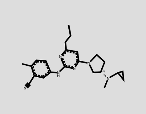 CCCc1cc(N2CC[C@H](N(C)C3CC3)C2)nc(Nc2ccc(C)c(C#N)c2)n1